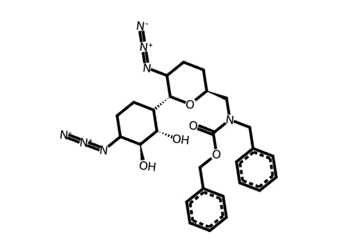 [N-]=[N+]=NC1CC[C@@H](CN(Cc2ccccc2)C(=O)OCc2ccccc2)O[C@@H]1C1CCC(N=[N+]=[N-])[C@H](O)[C@H]1O